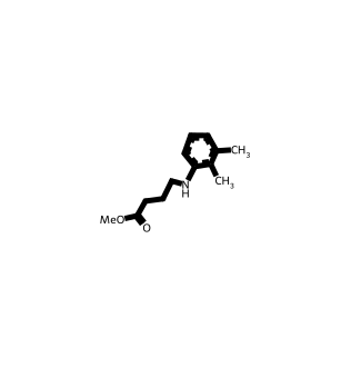 COC(=O)CCCNc1cccc(C)c1C